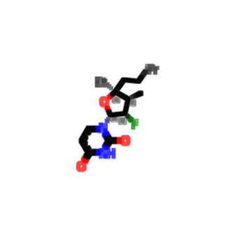 CC[C@@]1(CCC(C)C)O[C@@H](n2ccc(=O)[nH]c2=O)[C@H](F)[C@@H]1C